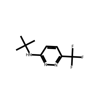 CC(C)(C)Nc1ccc(C(F)(F)F)nn1